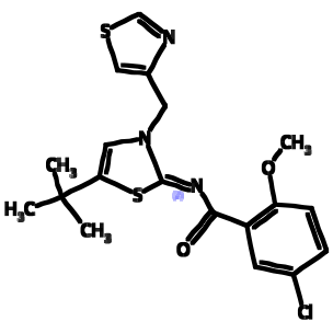 COc1ccc(Cl)cc1C(=O)/N=c1\sc(C(C)(C)C)cn1Cc1cscn1